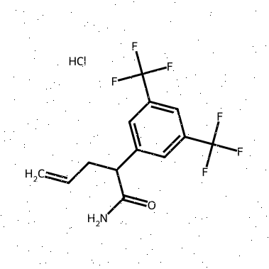 C=CCC(C(N)=O)c1cc(C(F)(F)F)cc(C(F)(F)F)c1.Cl